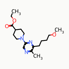 CCOC(=O)C1CCN(c2cnc(C)c(CCCCOC)n2)CC1